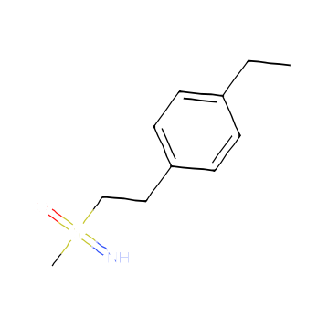 CCc1ccc(CCS(C)(=N)=O)cc1